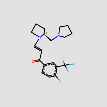 O=C(/C=C/N1CCC[C@H]1CN1CCCC1)c1ccc(Cl)c(C(F)(F)F)c1